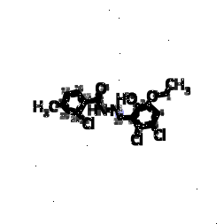 CCOc1cc(Cl)c(Cl)c(/C=N/NC(=O)c2ccc(C)cc2Cl)c1O